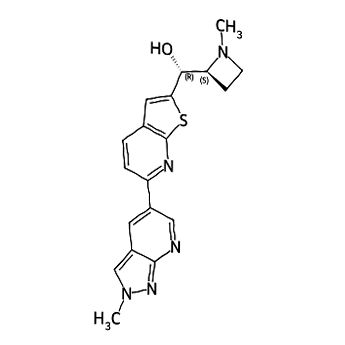 CN1CC[C@H]1[C@@H](O)c1cc2ccc(-c3cnc4nn(C)cc4c3)nc2s1